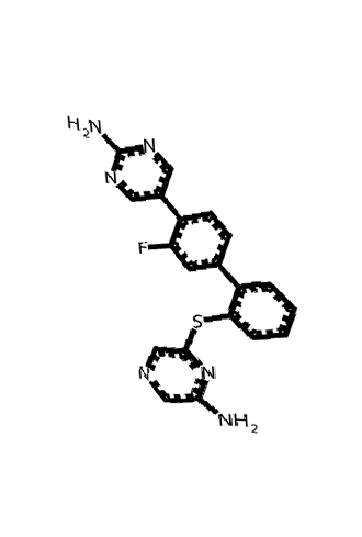 Nc1cncc(Sc2ccccc2-c2ccc(-c3cnc(N)nc3)c(F)c2)n1